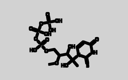 COC(COP(=O)(O)OP(=O)(O)OP(=O)(O)O)C(O)C(C)(O)n1ccc(=O)[nH]c1=S